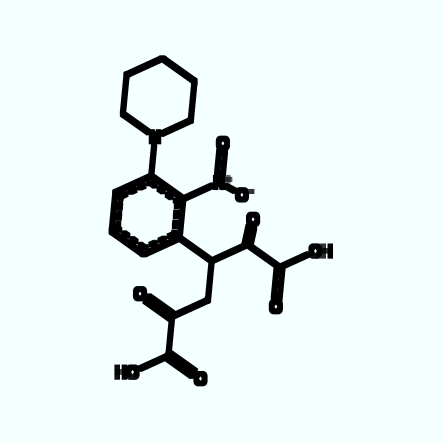 O=C(O)C(=O)CC(C(=O)C(=O)O)c1cccc(N2CCCCC2)c1[N+](=O)[O-]